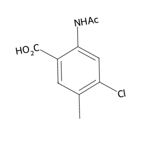 CC(=O)Nc1cc(Cl)c(C)cc1C(=O)O